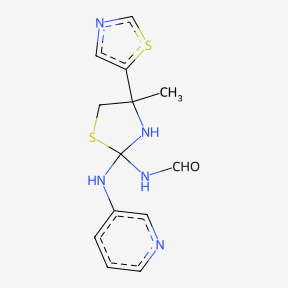 CC1(c2cncs2)CSC(NC=O)(Nc2cccnc2)N1